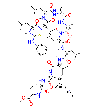 C/C=C/C[C@@H](C)[C@H]1CC(C)[C@H](N(C)C(=O)[C@H](CC(C)C)N(C)C(=O)[C@H](CC(C)C)N(C)C(=O)[C@@H](C)NC(=O)[C@H](C)NC(=O)[C@H](CC(C)C)N(C)C(=O)[C@@H](NC(=O)[C@H](CC(C)C)N(C)C(=S)Nc2ccccc2)C(C)C)C(=O)N(C)[C@@H]1C(=O)N[C@@H](CC)C(=O)N(C)CC(=O)OC